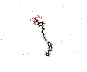 O=C(O)/C=C(\C(=O)O)c1ccc(OCCCCCCCCOc2ccc(/C=C\C(=O)c3ccccc3)cc2)cc1